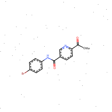 COC(=O)c1ccc(C(=O)Nc2ccc(Br)cc2)cn1